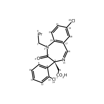 CC(C)CN1C(=O)[C@@](CC(=O)O)(c2ccccc2Cl)N=Cc2cc(Cl)ccc21